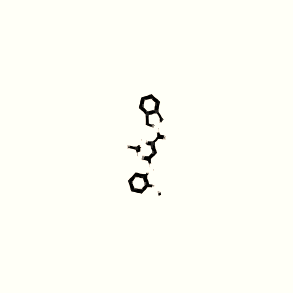 COc1ccccc1Nc1cc(C(=O)N2Cc3ccccc3C2)nc(Cl)n1